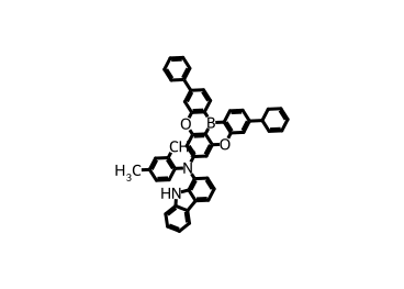 Cc1ccc(N(c2cc3c4c(c2)Oc2cc(C5C=CC=CC5)ccc2B4c2ccc(-c4ccccc4)cc2O3)c2cccc3c2[nH]c2ccccc23)c(C)c1